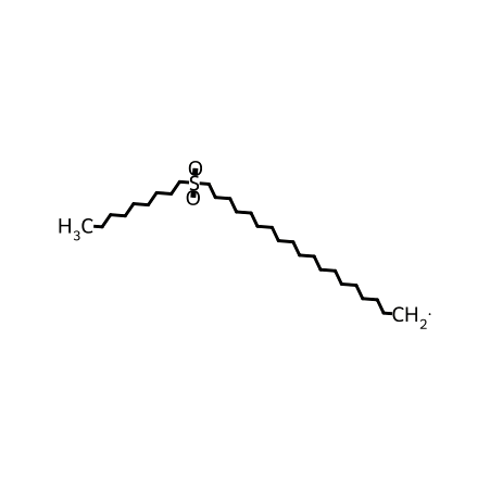 [CH2]CCCCCCCCCCCCCCCCCCS(=O)(=O)CCCCCCCCC